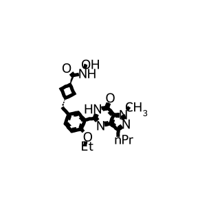 CCCc1nn(C)c2c(=O)[nH]c(-c3cc(C[C@H]4C[C@H](C(=O)NO)C4)ccc3OCC)nc12